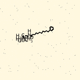 C[N+](C)(C)CC(CC(=O)[O-])NC(=O)CCCCCCCCCCc1ccccc1